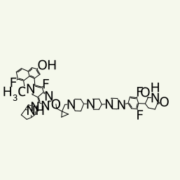 CCc1c(F)ccc2cc(O)cc(-c3ncc4c(N5CC6CCC(C5)N6)nc(OCC5(CN6CCC(N7CCC(N8CCN(c9cc(F)c(C%10CCC(=O)NC%10=O)c(F)c9)CC8)CC7)CC6)CC5)nc4c3F)c12